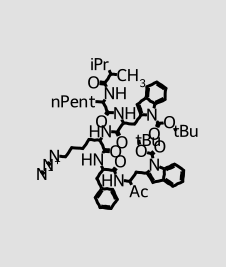 CCCCCC(NC(=O)C(C)C(C)C)C(=O)NC(Cc1cc2ccccc2n1C(=O)OC(C)(C)C)C(=O)NC(CCCCN=[N+]=[N-])C(=O)NC(Cc1ccccc1)C(=O)NC(Cc1cc2ccccc2n1C(=O)OC(C)(C)C)C(C)=O